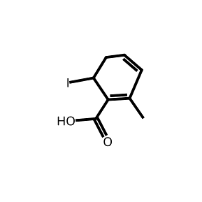 CC1=C(C(=O)O)C(I)CC=C1